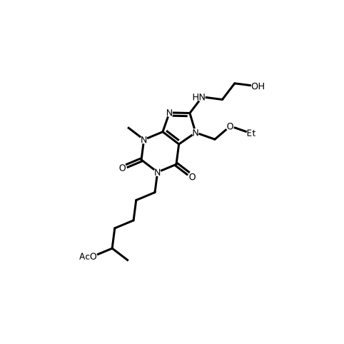 CCOCn1c(NCCO)nc2c1c(=O)n(CCCCC(C)OC(C)=O)c(=O)n2C